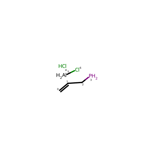 C=CCP.Cl.[AlH2][Cl]